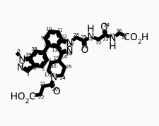 Cn1ncc2ccc(-c3cccc4c3c(C3CCN(C(=O)CCC(=O)O)CC3)nn4CC(=O)NCC(=O)NCC(=O)O)cc21